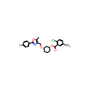 Cc1oc(-c2ccc(F)cc2)nc1CO[C@H]1CCC[C@@H](OC(=O)c2cc([N+](=O)[O-])ccc2Cl)C1